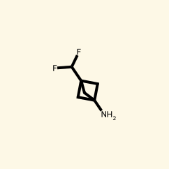 NC12CC(C(F)F)(C1)C2